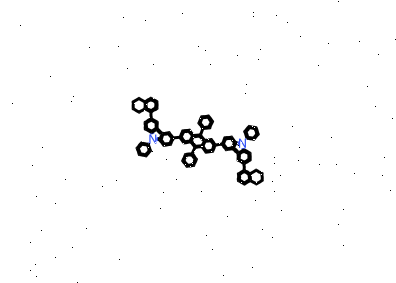 c1ccc(-c2c3ccc(-c4ccc5c(c4)c4cc(-c6cccc7c6CCCC7)ccc4n5-c4ccccc4)cc3c(-c3ccccc3)c3ccc(-c4ccc5c(c4)c4cc(-c6cccc7c6CCCC7)ccc4n5-c4ccccc4)cc23)cc1